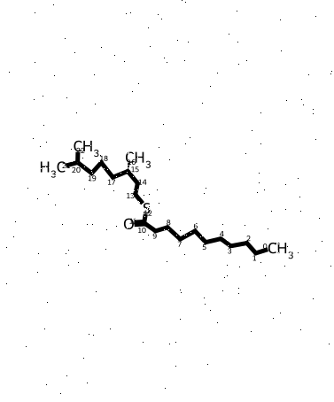 CCCCCCCCCCC(=O)SCC[C@@H](C)CCCC(C)C